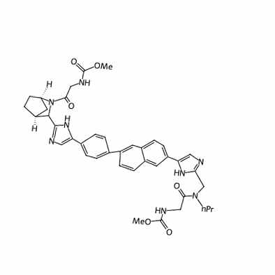 CCCN(Cc1ncc(-c2ccc3cc(-c4ccc(-c5cnc(C6[C@H]7CC[C@H](C7)N6C(=O)CNC(=O)OC)[nH]5)cc4)ccc3c2)[nH]1)C(=O)CNC(=O)OC